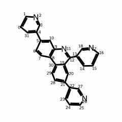 c1cncc(-c2ccc3c(c2)nc(-c2cccnc2)c2cc(-c4cccnc4)ccc23)c1